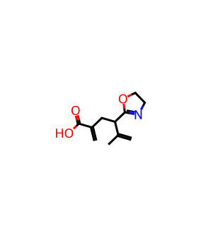 C=C(CC(C(=C)C)C1=NCCO1)C(=O)O